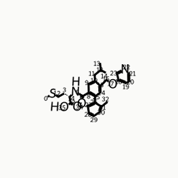 CSCC[C@H](NC(=O)c1cc(CC(C)C)c(COc2cccnc2)cc1-c1ccccc1C)C(=O)O